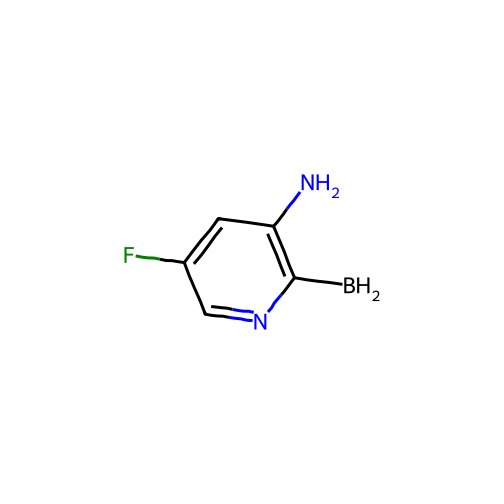 Bc1ncc(F)cc1N